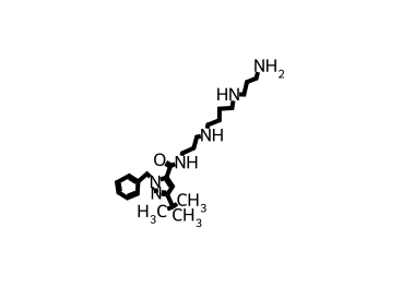 CC(C)(C)c1cc(C(=O)NCCCNCCCCNCCCN)n(Cc2ccccc2)n1